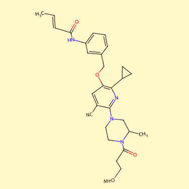 C/C=C/C(=O)Nc1cccc(COc2cc(C#N)c(N3CCN(C(=O)CCOC)C(C)C3)nc2C2CC2)c1